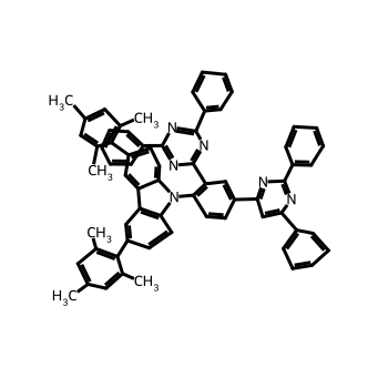 Cc1cc(C)c(-c2ccc3c(c2)c2cc(-c4c(C)cc(C)cc4C)ccc2n3-c2ccc(-c3cc(-c4ccccc4)nc(-c4ccccc4)n3)cc2-c2nc(-c3ccccc3)nc(-c3ccccc3)n2)c(C)c1